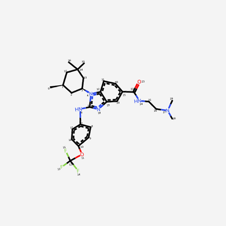 C[C@@H]1C[C@H](n2c(Nc3ccc(OC(F)(F)F)cc3)nc3cc(C(=O)NCCN(C)C)ccc32)CC(C)(C)C1